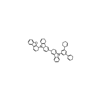 C1=CC(c2cc(C3C=CCCC3)cc(-n3c4c(c5ccccc53)=CC(C3=CC5C6=C(C=CCC6)N(C6CC=Cc7c6oc6ccccc76)C5C=C3)CC=4)c2)=CCC1